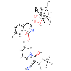 Cc1ccc(C[C@H](NC(=O)OC[C@H]2CCCN(C(=O)C(C#N)C(C)CC(C)(C)C)C2)B2O[C@@H]3C[C@@H]4C[C@@H](C4(C)C)[C@]3(C)O2)cc1